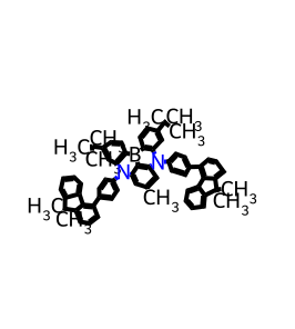 Cc1cc2c3c(c1)N(c1ccc(-c4cccc5c4-c4ccccc4C5(C)C)cc1)c1cc(C(C)(C)C)ccc1B3c1ccc(C(C)(C)C)cc1N2c1ccc(-c2cccc3c2-c2ccccc2C3(C)C)cc1